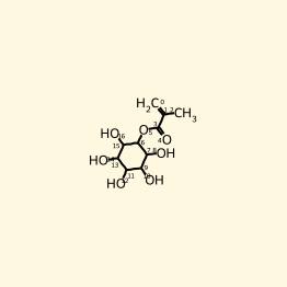 C=C(C)C(=O)OC1C(O)C(O)C(O)C(O)C1O